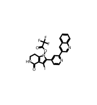 O=C1NCCc2c1c(I)c(-c1ccnc(-c3cnc4ccccc4c3)c1)n2OC(=O)C(F)(F)F